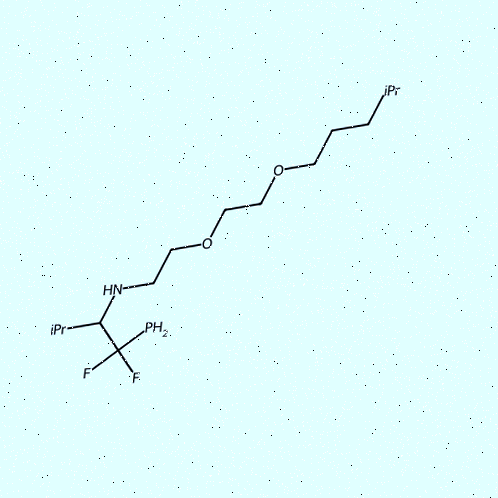 CC(C)CCCOCCOCCNC(C(C)C)C(F)(F)P